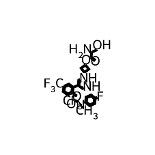 CN(C(=O)Oc1c(/C(C=N)=C/NC2CC(OC(=O)C(N)CO)C2)cc(C(F)(F)F)cc1C(F)(F)F)c1ccc(F)cc1